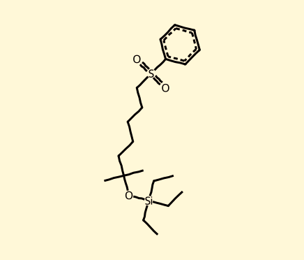 CC[Si](CC)(CC)OC(C)(C)CCCCCS(=O)(=O)c1ccccc1